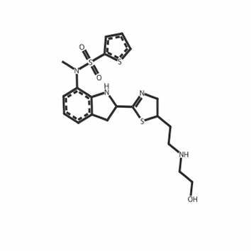 CN(c1cccc2c1NC(C1=NCC(CCNCCO)S1)C2)S(=O)(=O)c1cccs1